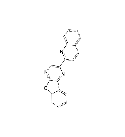 c1ccc2nc(-c3cnc4oc5ccccc5c4n3)ccc2c1